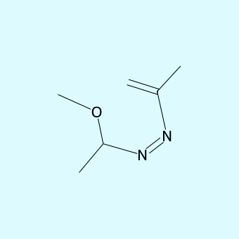 C=C(C)/N=N\C(C)OC